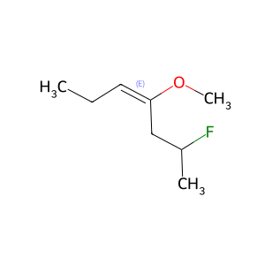 CC/C=C(\CC(C)F)OC